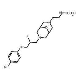 N#Cc1ccc(OCC(F)CN2CC3CN(CCNC(=O)O)CC(C2)O3)cc1